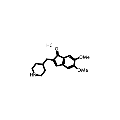 COc1cc2c(cc1OC)C(=O)C(CC1CCNCC1)=C2.Cl